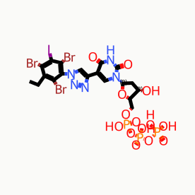 CCc1c(Br)c(I)c(Br)c(-n2cc(-c3cn([C@H]4C[C@@H](O)C(COP(=O)(O)OP(=O)(O)OP(=O)(O)O)O4)c(=O)[nH]c3=O)nn2)c1Br